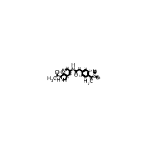 CC(C)[C@@H]1NCc2cc(NC(=O)Cc3ccc([C@H](C)[SH](=O)=O)cc3)cnc21